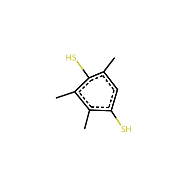 Cc1cc(S)c(C)c(C)c1S